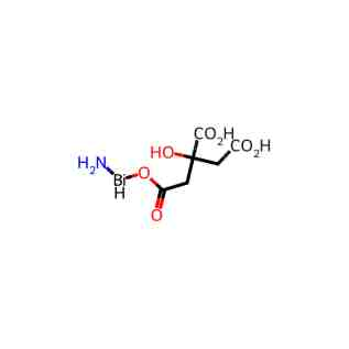 [NH2][BiH][O]C(=O)CC(O)(CC(=O)O)C(=O)O